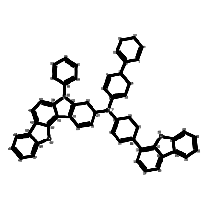 C1=CC(C2C=CC(N(C3=CC=C(c4cccc5c4oc4ccccc45)CC3)C3C=Cc4c(n(-c5ccccc5)c5ccc6c7ccccc7oc6c45)C3)=CC2)=CCC1